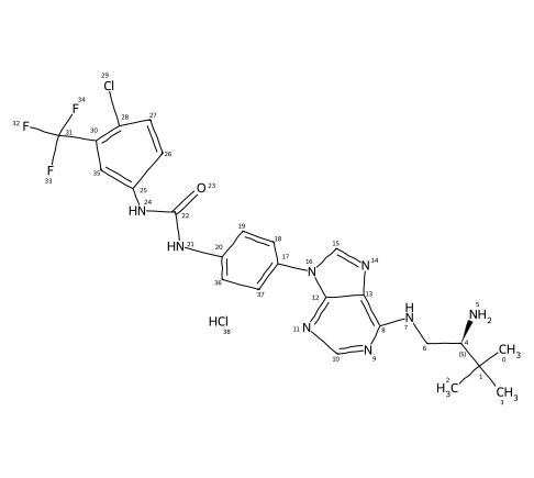 CC(C)(C)[C@H](N)CNc1ncnc2c1ncn2-c1ccc(NC(=O)Nc2ccc(Cl)c(C(F)(F)F)c2)cc1.Cl